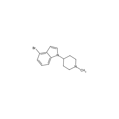 CN1CCC(n2ccc3c(Br)cccc32)CC1